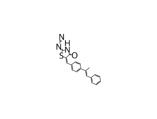 C/C(=C\c1ccccc1)c1ccc(C=C2SC(=NC#N)NC2=O)cc1